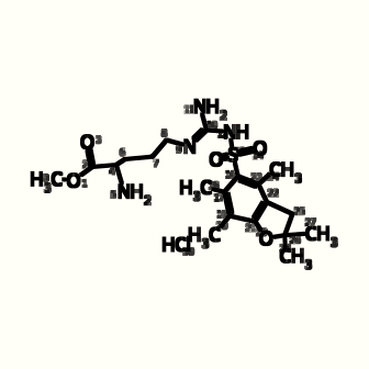 COC(=O)C(N)CCCN=C(N)NS(=O)(=O)c1c(C)c(C)c2c(c1C)CC(C)(C)O2.Cl